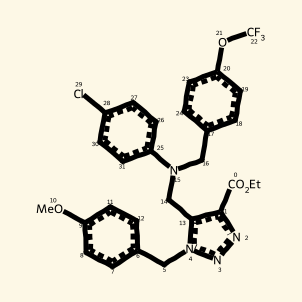 CCOC(=O)c1nnn(Cc2ccc(OC)cc2)c1CN(Cc1ccc(OC(F)(F)F)cc1)c1ccc(Cl)cc1